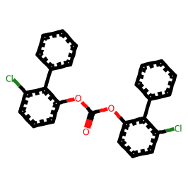 O=C(Oc1cccc(Cl)c1-c1ccccc1)Oc1cccc(Cl)c1-c1ccccc1